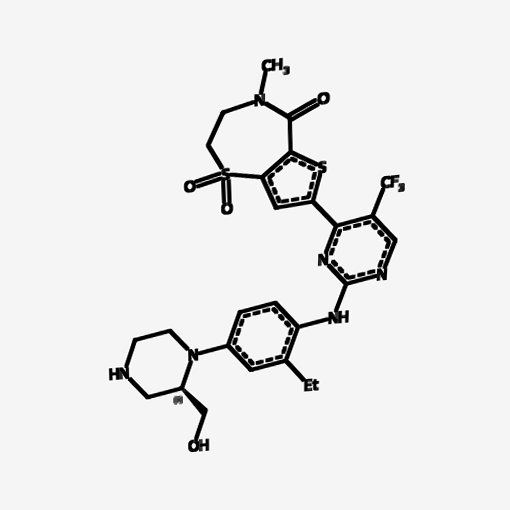 CCc1cc(N2CCNC[C@@H]2CO)ccc1Nc1ncc(C(F)(F)F)c(-c2cc3c(s2)C(=O)N(C)CCS3(=O)=O)n1